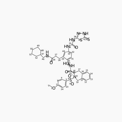 COc1ccc(S(=O)(=O)N2Cc3ccccc3C[C@@H]2C(=O)NO)cc1.O=C(CCc1cccc(NC(=O)Nc2n[nH]c(=S)s2)c1)NCC1CCCCC1